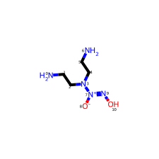 NCCN(CCN)/[N+]([O-])=N/O